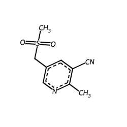 Cc1ncc(CS(C)(=O)=O)cc1C#N